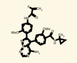 C=C(F)C(=O)Nc1ccc(-c2nn3ncnc(N)c3c2-c2ccc(C(=O)NC3(C)CC3)c(OC)c2)c(OC)c1